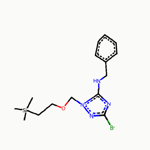 C[Si](C)(C)CCOCn1nc(Br)nc1NCc1ccccc1